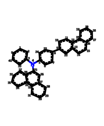 c1ccc(N(c2ccc(-c3ccc4c(ccc5ccccc54)c3)cc2)c2cc3ccccc3c3ccccc23)cc1